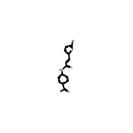 CC(=O)c1ccc(NC(=O)/C=C/c2ccc(Br)s2)cc1